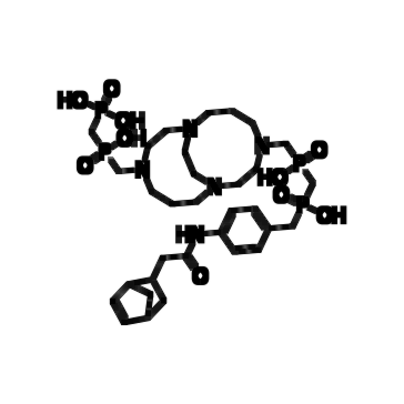 O=C(CC1CC2C=CC1C2)Nc1ccc(CP(=O)(O)CP(=O)(O)CN2CCCN3CCN(CCCN(CP(=O)(O)CP(=O)(O)O)CC3)CC2)cc1